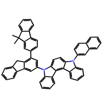 CC1(C)c2ccccc2-c2ccc(-c3cc(-n4c5ccccc5c5c6c7ccccc7n(-c7ccc8ccccc8c7)c6ccc54)cc4c3Cc3ccccc3-4)cc21